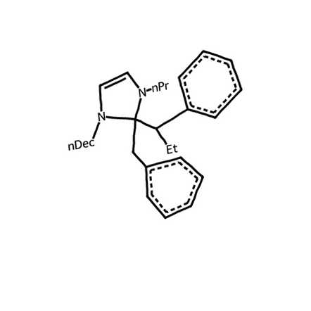 CCCCCCCCCCN1C=CN(CCC)C1(Cc1ccccc1)C(CC)c1ccccc1